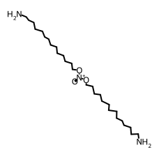 NCCCCCCCCCCCCCCO[N+](=O)OCCCCCCCCCCCCCCN